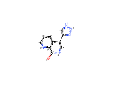 O=c1[nH]cc(-c2c[nH]nn2)c2cccnc12